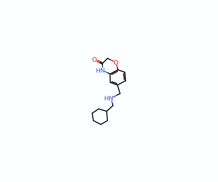 O=C1COc2ccc(CNCC3CCCCC3)cc2N1